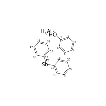 Oc1ccccc1.[AlH3].c1cc[c]([Sb][c]2ccccc2)cc1